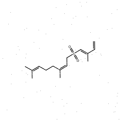 C=CC(C)=CS(=O)(=O)CC=C(C)CCC=C(C)C